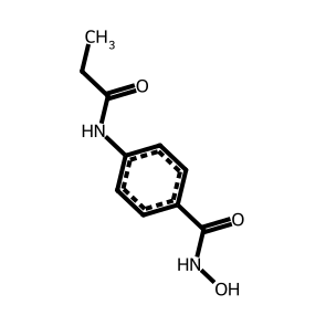 CCC(=O)Nc1ccc(C(=O)NO)cc1